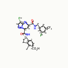 Cc1c(C(=O)O)ccc2c1CC[C@@H]2NC(=O)c1cc(C(=O)NCc2cc(F)cc(C(F)(F)F)c2)nc2c(F)cnn12